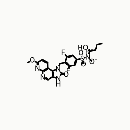 CCCC(O)[NH+]([O-])S(=O)(=O)c1cc(F)c(Cn2c(=O)[nH]c3cnc4nc(OC)ccc4c32)c(F)c1